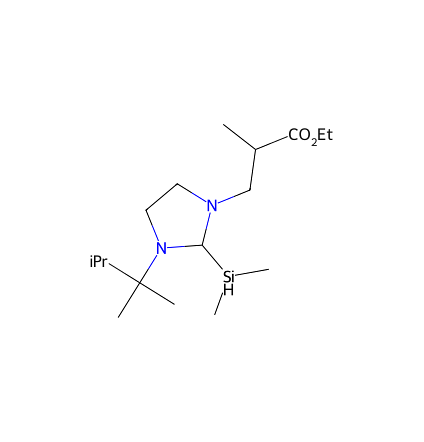 CCOC(=O)C(C)CN1CCN(C(C)(C)C(C)C)C1[SiH](C)C